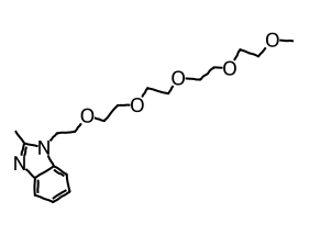 COCCOCCOCCOCCOCCn1c(C)nc2ccccc21